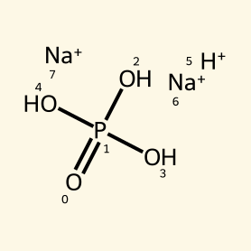 O=P(O)(O)O.[H+].[Na+].[Na+]